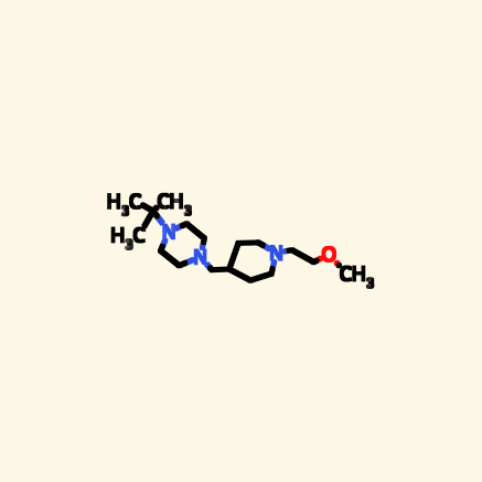 COCCN1CCC(CN2CCN(C(C)(C)C)CC2)CC1